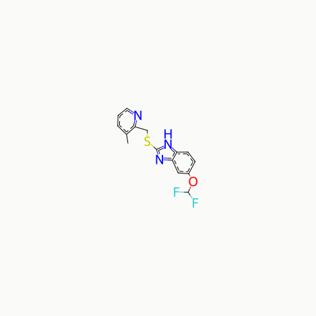 Cc1cccnc1CSc1nc2cc(OC(F)F)ccc2[nH]1